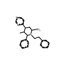 CC1C(c2ccncn2)CC(N)N(CCc2ccccc2)C1c1ccccc1